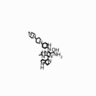 CC(C)Nc1nc(Nc2ccc(N3CCC(N4CCN(C)CC4)CC3)cc2)c(C(N)O)nc1-c1nccc2[nH]ccc12